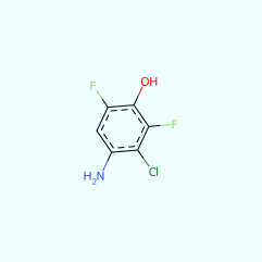 Nc1cc(F)c(O)c(F)c1Cl